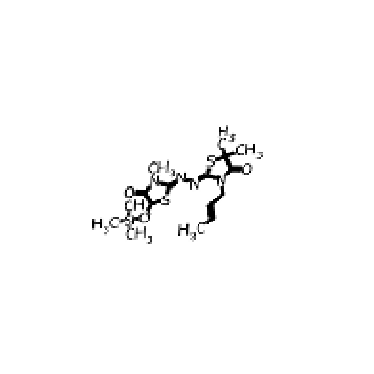 CC=CCN1C(=O)C(C)(C)SC1=NN=C1SC(O[Si](C)(C)C)C(=O)N1C